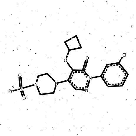 CC(C)S(=O)(=O)N1CCN(c2cnn(-c3cccc(Cl)c3)c(=O)c2OC2CCC2)CC1